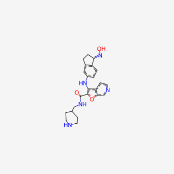 O=C(NCC1CCNCC1)c1oc2cnccc2c1Nc1ccc2c(c1)CC/C2=N\O